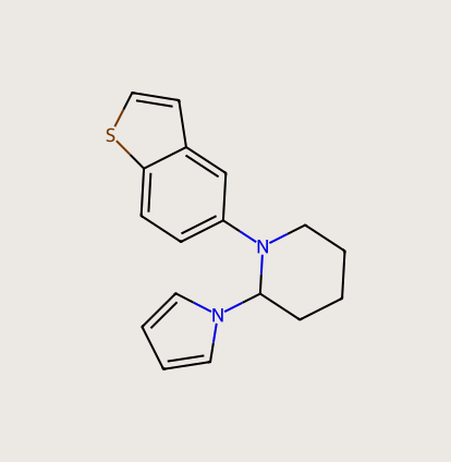 c1ccn(C2CCCCN2c2ccc3sccc3c2)c1